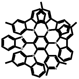 Cc1ccc2c(c1)c1ccccc1n2-c1c(-c2cc(C)nc(C)c2)c(-n2c3ccccc3c3cc(C)ccc32)c(-n2c3ccccc3c3cc(C)ccc32)c(-n2c3ccccc3c3cc(C)ccc32)c1-c1nc2ccccc2o1